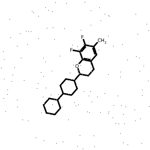 Cc1cc2c(c(F)c1F)OC(C1CCC(C3CCCCC3)CC1)CC2